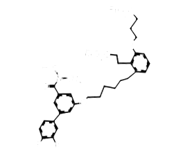 CCOC(=O)CCCOc1cccc(CCCCCCOc2cc(C(=O)N(C)C)cc(-c3ccc(F)c(F)c3)c2)c1CCC(=O)OCC